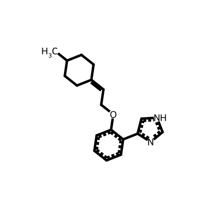 CC1CCC(=CCOc2ccccc2-c2c[nH]cn2)CC1